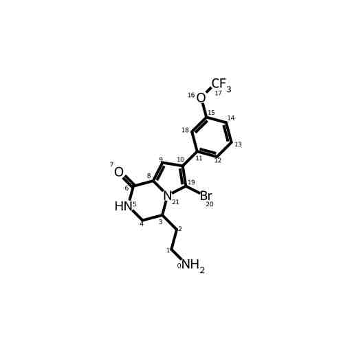 NCCC1CNC(=O)c2cc(-c3cccc(OC(F)(F)F)c3)c(Br)n21